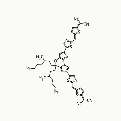 CC(C)CCCC(C)CCC1(CCC(C)CCCC(C)C)Oc2cc(-c3cnc(/C=c4\ccc(=C(C#N)C#N)s4)s3)sc2-c2sc(-c3cnc(/C=c4\ccc(=C(C#N)C#N)s4)s3)cc21